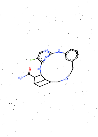 NC(=O)C1C2CC3CNCCc4cccc(c4)Nc4ncc(F)c(n4)NC1C3C2